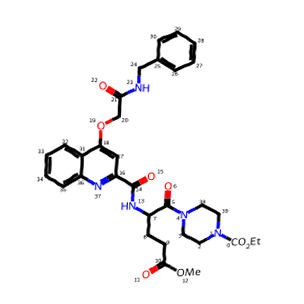 CCOC(=O)N1CCN(C(=O)C(CCC(=O)OC)NC(=O)c2cc(OCC(=O)NCc3ccccc3)c3ccccc3n2)CC1